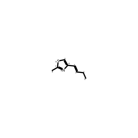 CC/C=C/c1csc(C)n1